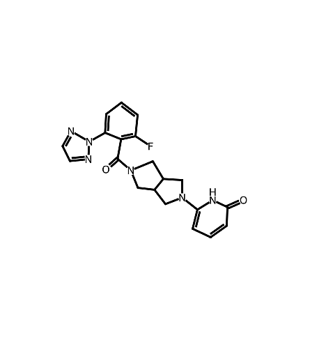 O=C(c1c(F)cccc1-n1nccn1)N1CC2CN(c3cccc(=O)[nH]3)CC2C1